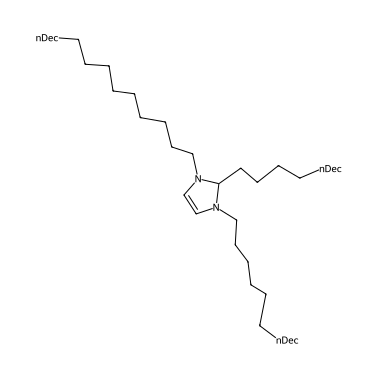 CCCCCCCCCCCCCCCCCCCN1C=CN(CCCCCCCCCCCCCCCC)C1CCCCCCCCCCCCCC